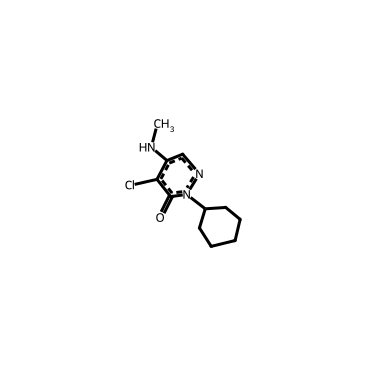 CNc1cnn(C2CCCCC2)c(=O)c1Cl